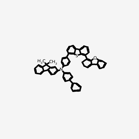 CC1(C)c2ccccc2-c2ccc(N(c3ccc(-c4ccccc4)cc3)c3ccc(-c4cccc5c4sc4c(C6=c7oc8ccccc8c7=CCC6)cccc45)cc3)cc21